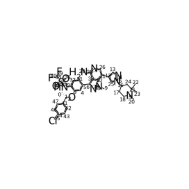 C[C@H](Oc1cc(-c2nn(C)c3c(-c4cnn(C5CCN(C)C(C)(C)C5)c4)cnc(N)c23)ccc1NS(=O)(=O)C(F)F)c1ccc(Cl)cc1